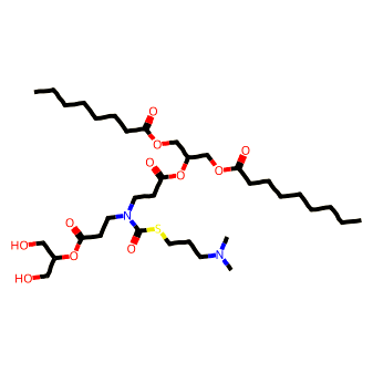 CCCCCCCCC(=O)OCC(COC(=O)CCCCCCC)OC(=O)CCN(CCC(=O)OC(CO)CO)C(=O)SCCCN(C)C